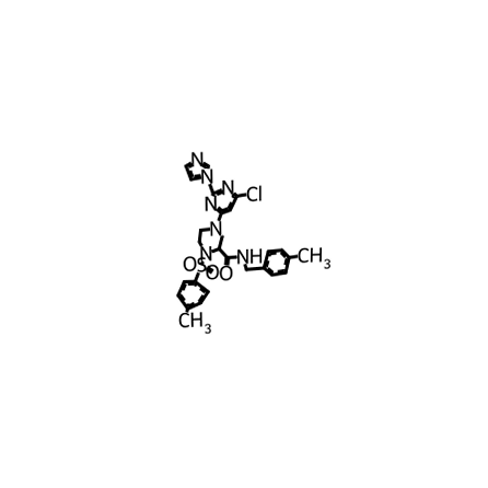 Cc1ccc(CNC(=O)C2CN(c3cc(Cl)nc(-n4ccnc4)n3)CCN2S(=O)(=O)c2ccc(C)cc2)cc1